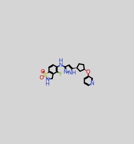 O=S1(=O)NCc2c1ccc(Nc1cc([C@H]3CC[C@@H](Oc4cccnc4)C3)[nH]n1)c2F